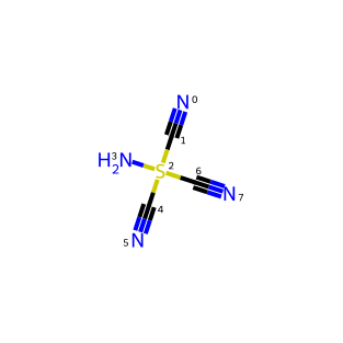 N#CS(N)(C#N)C#N